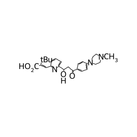 CN1CCN(c2ccc(C(=O)CC(O)c3cccc(/C=C(/C(=O)O)C(C)(C)C)n3)cc2)CC1